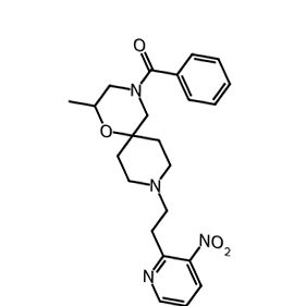 CC1CN(C(=O)c2ccccc2)CC2(CCN(CCc3ncccc3[N+](=O)[O-])CC2)O1